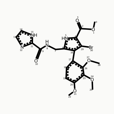 COC(=O)c1[nH]c(CNC(=O)c2ncc[nH]2)c(-c2ccc(OC)c(OC)c2OC)c1Br